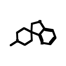 CN1CCC2(CC1)COc1cccnc12